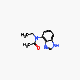 CCN(C(C)=O)c1cccc2[nH]cnc12